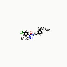 CON=C(C(=O)NCCc1ccc(OC)c(OC)c1)c1ccc(Cl)cc1